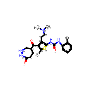 CCc1ccccc1NC(=O)Nc1sc(C(C)(C)C)c(C(=O)C2CCC(=O)NNC2)c1CCN(C)C